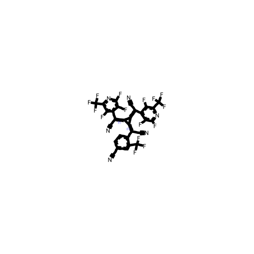 N#CC(=C1C(=C(\C#N)c2ccc(C#N)cc2C(F)(F)F)/C1=C(\C#N)c1c(F)c(F)nc(C(F)(F)F)c1F)c1c(F)c(F)nc(C(F)(F)F)c1F